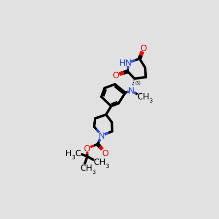 CN(c1cccc(C2CCN(C(=O)OC(C)(C)C)CC2)c1)[C@H]1CCC(=O)NC1=O